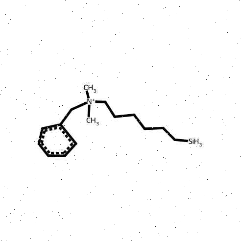 C[N+](C)(CCCCCC[SiH3])Cc1ccccc1